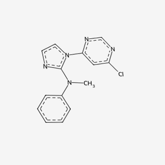 CN(c1ccccc1)c1nccn1-c1cc(Cl)ncn1